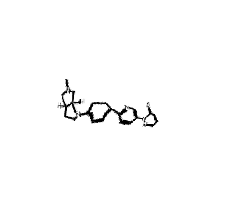 CN1C[C@H]2CCN(C3=CC=C(c4ccc(-n5ncccc5=O)cn4)CC3)[C@H]2C1